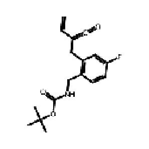 C=CC(=C=O)Cc1cc(F)ccc1CNC(=O)OC(C)(C)C